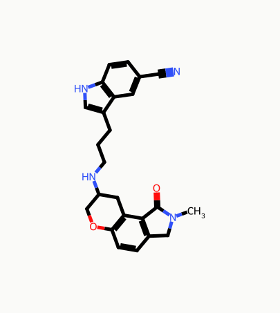 CN1Cc2ccc3c(c2C1=O)CC(NCCCc1c[nH]c2ccc(C#N)cc12)CO3